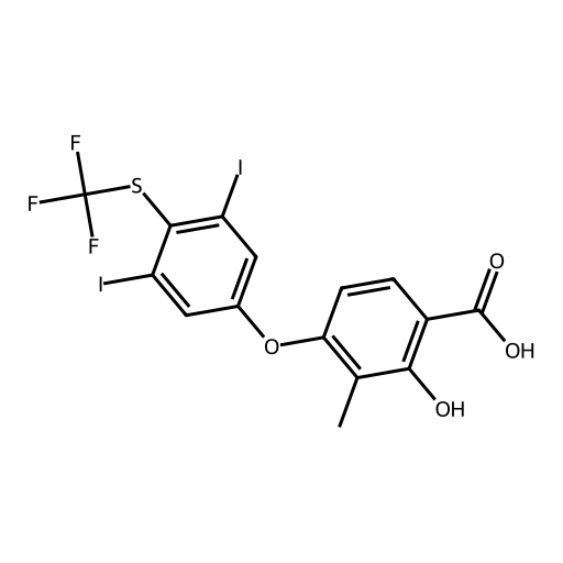 Cc1c(Oc2cc(I)c(SC(F)(F)F)c(I)c2)ccc(C(=O)O)c1O